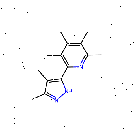 Cc1n[nH]c(-c2nc(C)c(C)c(C)c2C)c1C